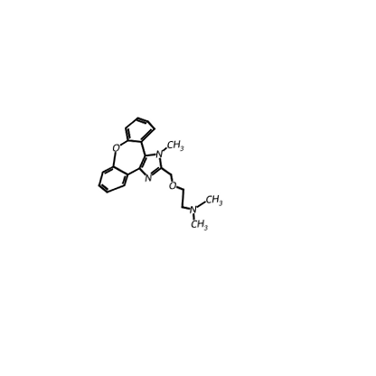 CN(C)CCOCc1nc2c(n1C)-c1ccccc1Oc1ccccc1-2